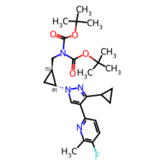 Cc1nc(-c2cn([C@@H]3C[C@H]3CN(C(=O)OC(C)(C)C)C(=O)OC(C)(C)C)nc2C2CC2)ccc1F